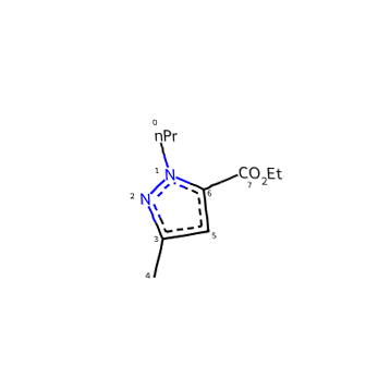 CCCn1nc(C)cc1C(=O)OCC